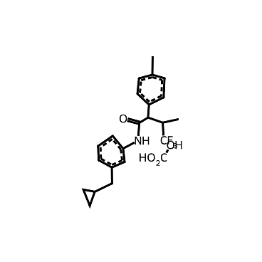 Cc1ccc(C(C(=O)Nc2cccc(CC3CC3)c2)C(C)C(F)(F)F)cc1.O=C(O)O